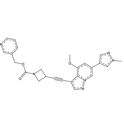 COc1cc(-c2cnn(C)c2)cn2ncc(C#CC3CN(C(=O)OCc4cccnc4)C3)c12